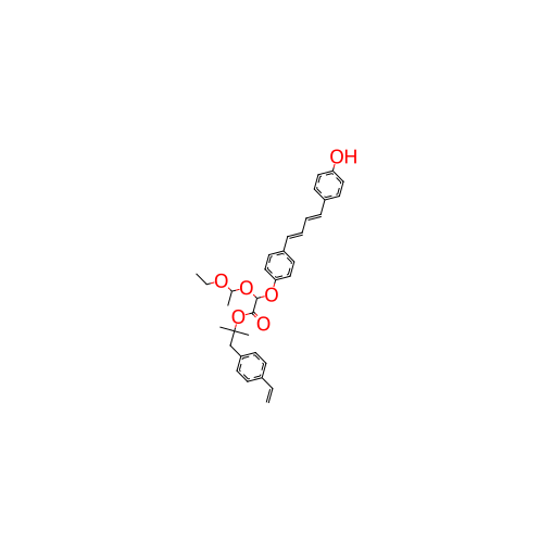 C=Cc1ccc(CC(C)(C)OC(=O)C(Oc2ccc(C=CC=Cc3ccc(O)cc3)cc2)OC(C)OCC)cc1